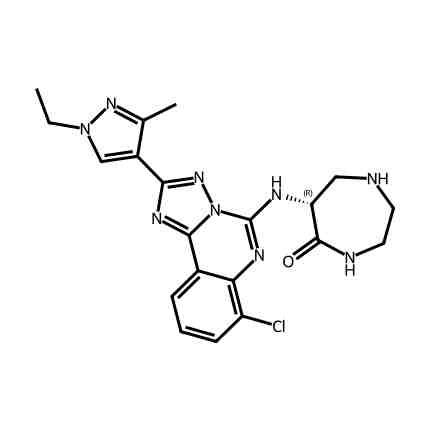 CCn1cc(-c2nc3c4cccc(Cl)c4nc(N[C@@H]4CNCCNC4=O)n3n2)c(C)n1